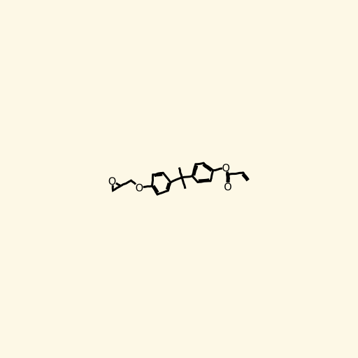 C=CC(=O)Oc1ccc(C(C)(C)c2ccc(OCC3CO3)cc2)cc1